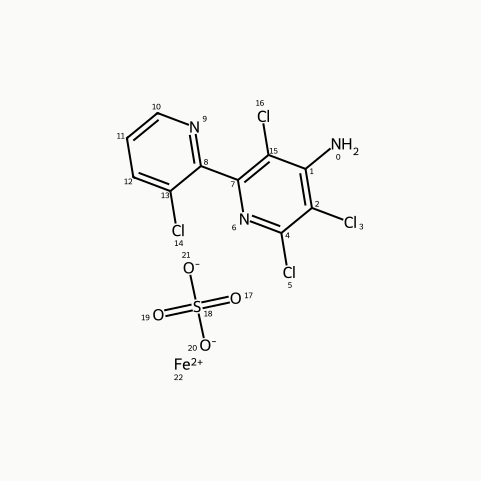 Nc1c(Cl)c(Cl)nc(-c2ncccc2Cl)c1Cl.O=S(=O)([O-])[O-].[Fe+2]